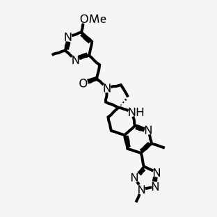 COc1cc(CC(=O)N2CC[C@]3(CCc4cc(-c5nnn(C)n5)c(C)nc4N3)C2)nc(C)n1